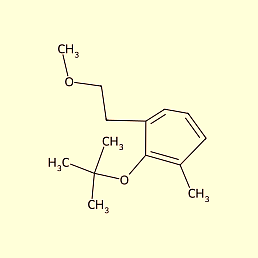 COCCc1cccc(C)c1OC(C)(C)C